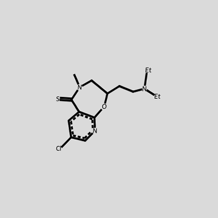 CCN(CC)CCC1CN(C)C(=S)c2cc(Cl)cnc2O1